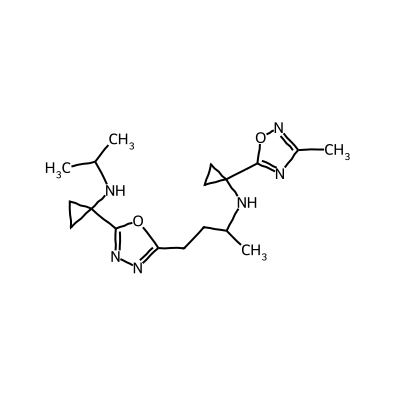 Cc1noc(C2(NC(C)CCc3nnc(C4(NC(C)C)CC4)o3)CC2)n1